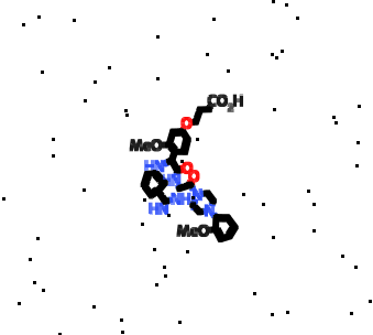 COc1cc(OCCCC(=O)O)ccc1C(Nc1cccc(C(=N)N)c1)C(=O)NCC(=O)N1CCN(c2ccccc2OC)CC1